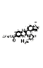 COC(=O)c1ccc2nc(-c3ccc4[nH]nnc4c3)c(N3CCC[C@@H]3C)nc2c1